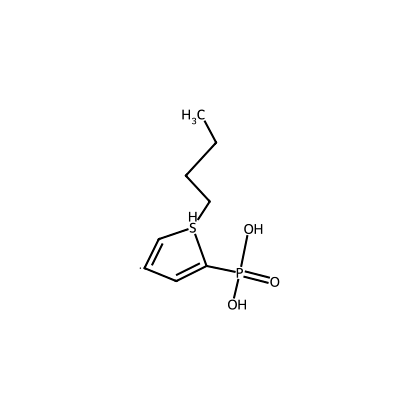 CCCC[SH]1C=[C]C=C1P(=O)(O)O